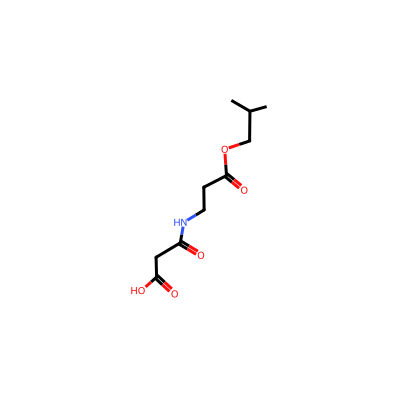 CC(C)COC(=O)CCNC(=O)CC(=O)O